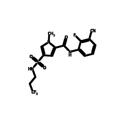 Cn1cc(S(=O)(=O)NCCC(F)(F)F)cc1C(=O)Nc1cccc(C#N)c1F